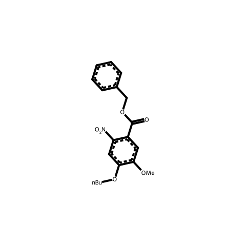 CCCCOc1cc([N+](=O)[O-])c(C(=O)OCc2ccccc2)cc1OC